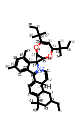 CCC1CC2C(=CC=C3C4=[N+](C=C[C@@H]32)[C@@]2(c3c(C)cc(C)cc34)C3OC(C(C)(C)CC)=CC(C(C)(C)CC)OC32)C(C)(C)C1